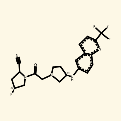 N#CC1C[C@H](F)CN1C(=O)CN1CC[C@@H](Nc2ccc3nc(C(F)(F)F)ccc3c2)C1